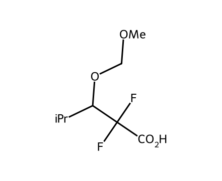 COCOC(C(C)C)C(F)(F)C(=O)O